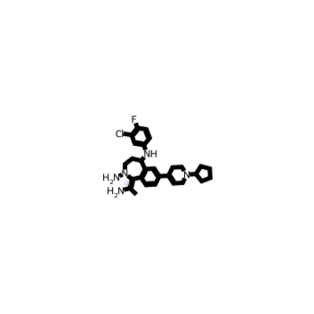 C/C(N)=C1\c2ccc(C3=CCN(C4CCCC4)CC3)cc2C(Nc2ccc(F)c(Cl)c2)CCN1N